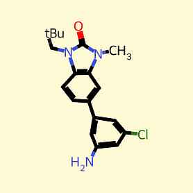 Cn1c(=O)n(CC(C)(C)C)c2ccc(-c3cc(N)cc(Cl)c3)cc21